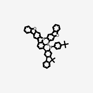 CC(C)(C)c1ccc(N2B3c4cc5oc6ccccc6c5cc4-n4c5cc6oc7ccccc7c6cc5c5ccc(c3c54)-c3cc4c(cc32)C(C)(C)c2ccccc2-4)cc1